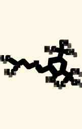 CN(C)CC/N=C/c1cc(C(C)(C)C)cc(C(C)(C)C)c1O